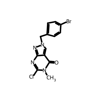 Cn1c(Cl)nc2nn(Cc3ccc(Br)cc3)cc2c1=O